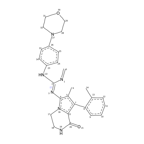 C=N/C(=N\c1c(C)c(-c2ccccc2C)c2n1CCNC2=O)Nc1ccc(N2CCOCC2)cc1